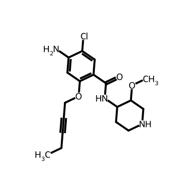 CCC#CCOc1cc(N)c(Cl)cc1C(=O)NC1CCNCC1OC